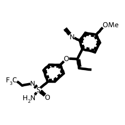 C=Nc1cc(OC)ccc1/C(=C\C)Oc1ccc(S(N)(=O)=NCC(F)(F)F)cc1